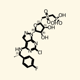 C[C@H](Nc1nc(Cl)nc2c1cnn2[C@@H]1O[C@H](CS(=O)(=O)CP(=O)(O)O)[C@@H](O)[C@H]1O)c1ccc(F)cc1